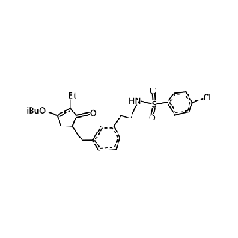 CCC1=C(OCC(C)C)CC(Cc2cccc(CCNS(=O)(=O)c3ccc(Cl)cc3)c2)C1=O